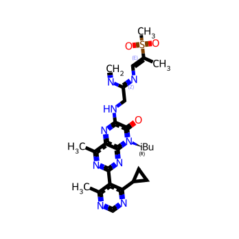 C=N/C(CNc1nc2c(C)nc(-c3c(C)ncnc3C3CC3)nc2n([C@H](C)CC)c1=O)=N\C=C(/C)S(C)(=O)=O